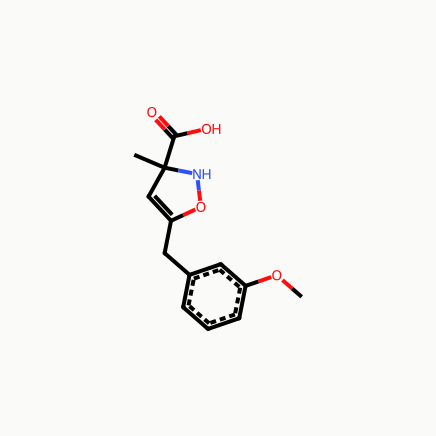 COc1cccc(CC2=CC(C)(C(=O)O)NO2)c1